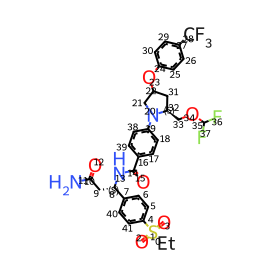 CCS(=O)(=O)c1ccc([C@H](CC(N)=O)NC(=O)c2ccc(N3CC(Oc4ccc(C(F)(F)F)cc4)C[C@H]3COC(F)F)cc2)cc1